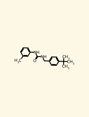 Cc1cccc(NC(=O)NCc2ccc(C(C)(C)C)cc2)c1